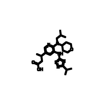 CC(C)CN(c1ncc(C(C)CC(=O)O)cc1Nc1nc(C(C)C)ns1)C1CCOCC1